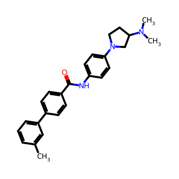 Cc1cccc(-c2ccc(C(=O)Nc3ccc(N4CCC(N(C)C)C4)cc3)cc2)c1